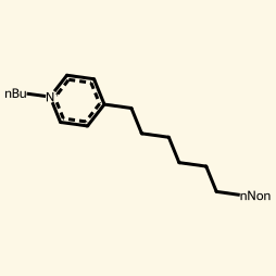 CCCCCCCCCCCCCCCc1cc[n+](CCCC)cc1